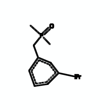 CC(C)c1cccc(CP(C)(C)=O)c1